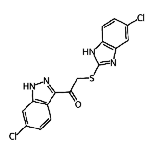 O=C(CSc1nc2cc(Cl)ccc2[nH]1)c1n[nH]c2cc(Cl)ccc12